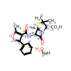 Cc1onc(-c2ccccc2)c1C(=O)N[C@@H]1C(=O)N2[C@@H]1SC(C)(C)[C@@H]2C(=O)O.O.[NaH]